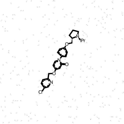 CC(C)N1CCC[C@@H]1COc1ccc(-n2ccc(OCc3ccc(Cl)cn3)cc2=O)cc1